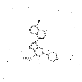 O=C(O)c1cc(N2CCOCC2)cc2c1ncn2-c1cccc2c(F)cccc12